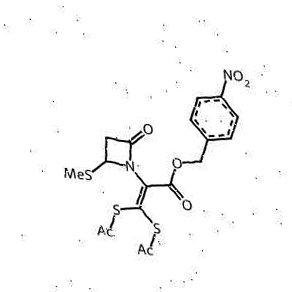 CSC1CC(=O)N1C(C(=O)OCc1ccc([N+](=O)[O-])cc1)=C(SC(C)=O)SC(C)=O